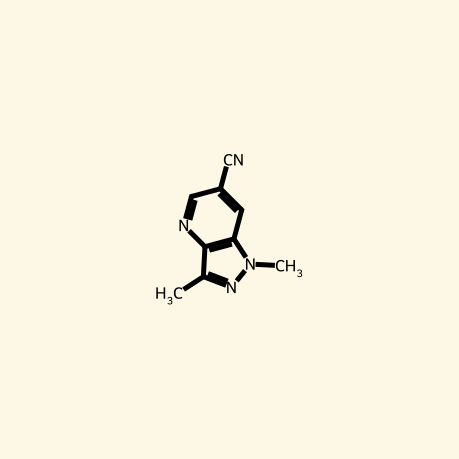 Cc1nn(C)c2cc(C#N)cnc12